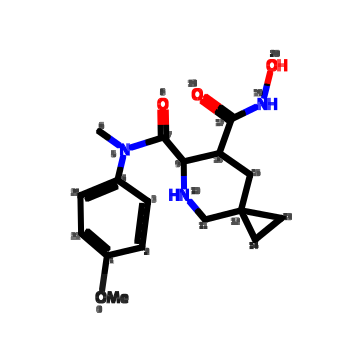 COc1ccc(N(C)C(=O)C2NCC3(CC3)CC2C(=O)NO)cc1